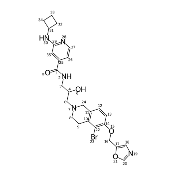 O=C(NCC(O)CN1CCc2c(ccc(OCc3cnco3)c2Br)C1)c1ccnc(NC2CCC2)c1